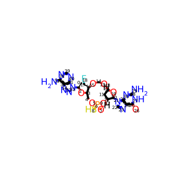 C[C@@H](OC1COP(=O)(S)O[C@H]2C[C@@H](OCO[C@@H]1CF)OC2n1cnc2c(=O)[nH]c(N)nc21)n1nnc2c(N)ncnc21